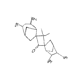 CC(C)C1C2CC(C1C(C)C)C1(C2)C(=O)C2(CC3CC2C(C(C)C)C3C(C)C)C1(C)C